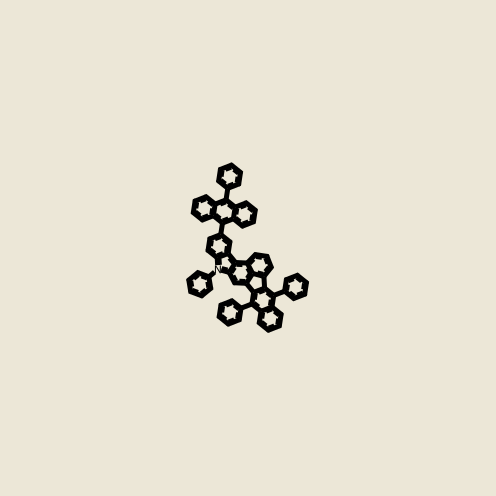 c1ccc(-c2c3c(c(-c4ccccc4)c4ccccc24)-c2cc4c(c5cccc-3c25)c2cc(-c3c5ccccc5c(-c5ccccc5)c5ccccc35)ccc2n4-c2ccccc2)cc1